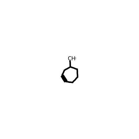 [CH]C1CC#CCCC1